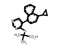 CC(C)(Sc1ncncc1-c1ccc(C2CC2)c2ccccc12)C(=O)O